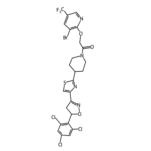 O=C(COc1ncc(C(F)(F)F)cc1Br)N1CCC(c2nc(C3=NOC(c4c(Cl)cc(Cl)cc4Cl)C3)cs2)CC1